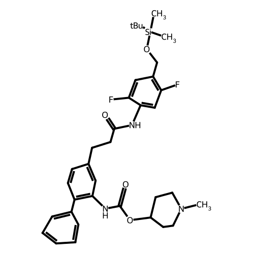 CN1CCC(OC(=O)Nc2cc(CCC(=O)Nc3cc(F)c(CO[Si](C)(C)C(C)(C)C)cc3F)ccc2-c2ccccc2)CC1